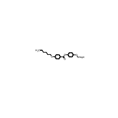 C=CCCCCOc1ccc(C(=O)Oc2ccc(OCCCCCCC)cc2)cc1